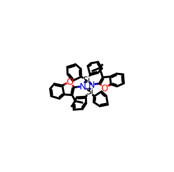 CC(C)c1c(N2[Si](c3ccccc3)(c3ccccc3)N(c3oc4ccccc4c3C(C)C)[Si]2(c2ccccc2)c2ccccc2)oc2ccccc12